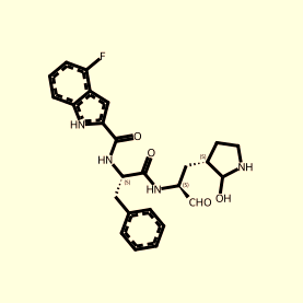 O=C[C@H](C[C@@H]1CCNC1O)NC(=O)[C@H](Cc1ccccc1)NC(=O)c1cc2c(F)cccc2[nH]1